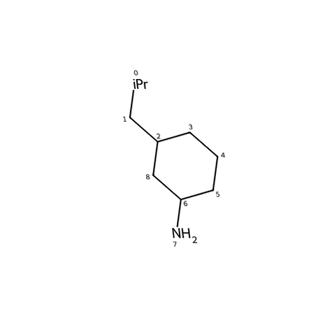 CC(C)CC1CCCC(N)C1